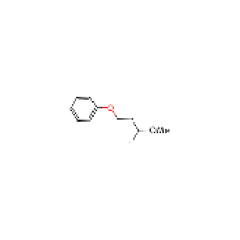 [CH2]C(CCOc1ccccc1)OC